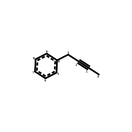 CC#CCc1ccccc1